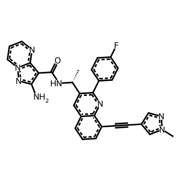 C[C@@H](NC(=O)c1c(N)nn2cccnc12)c1cc2cccc(C#Cc3cnn(C)c3)c2nc1-c1ccc(F)cc1